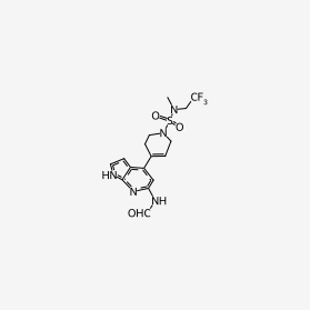 CN(CC(F)(F)F)S(=O)(=O)N1CC=C(c2cc(NC=O)nc3[nH]ccc23)CC1